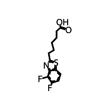 O=C(O)CCCCCc1nc2c(F)c(F)ccc2s1